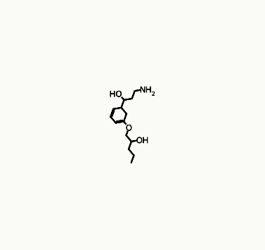 CCCC(O)COC1=CC=CC(C(O)CCN)C1